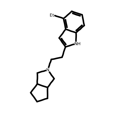 CCc1cccc2[nH]c(CCN3CC4CCCC4C3)cc12